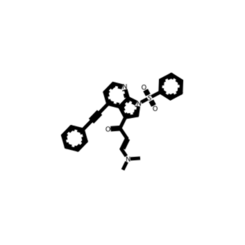 CN(C)C=CC(=O)c1cn(S(=O)(=O)c2ccccc2)c2nccc(C#Cc3ccccc3)c12